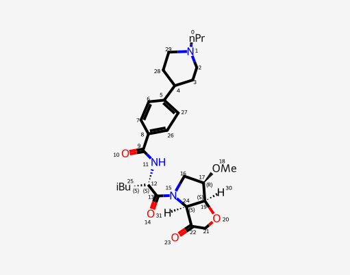 CCCN1CCC(c2ccc(C(=O)N[C@H](C(=O)N3C[C@@H](OC)[C@H]4OCC(=O)[C@H]43)[C@@H](C)CC)cc2)CC1